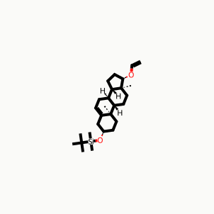 C=CO[C@H]1CC[C@H]2[C@@H]3CC=C4C[C@@H](O[Si](C)(C)C(C)(C)C)CC[C@]4(C)[C@H]3CC[C@]12C